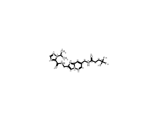 CC(C)n1ncnc1C(=O)NCc1cn2ncc(CNC(=O)CCC(F)(F)F)cc2n1